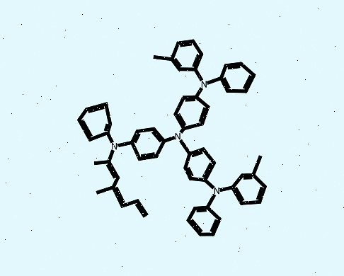 C=C/C=C(C)\C=C(/C)N(c1ccccc1)c1ccc(N(c2ccc(N(c3ccccc3)c3cccc(C)c3)cc2)c2ccc(N(c3ccccc3)c3cccc(C)c3)cc2)cc1